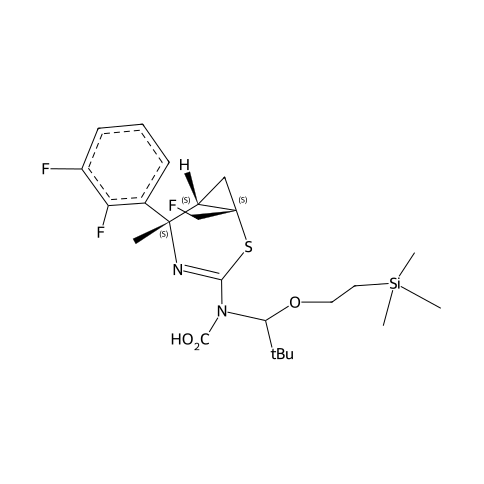 CC(C)(C)C(OCC[Si](C)(C)C)N(C(=O)O)C1=N[C@](C)(c2cccc(F)c2F)[C@@H]2C[C@]2(CF)S1